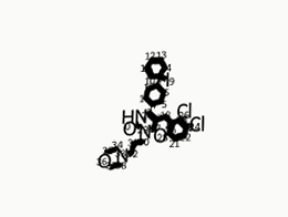 O=c1[nH]c([C@H]2CC[C@H](C3(I)C=CC=CC3)CC2)c(Cc2cccc(Cl)c2Cl)c(=O)n1CCCN1CCOCC1